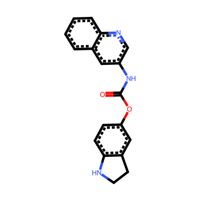 O=C(Nc1cnc2ccccc2c1)Oc1ccc2c(c1)CCN2